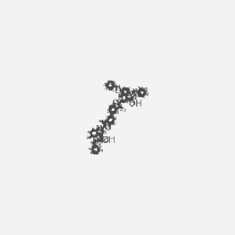 Cc1ccc2nc(-c3oc4ccc(-c5ccc6oc(-c7cc(C(=O)O)c8c(OCc9ccccc9)ccc(OCc9ccccc9)c8n7)c(C)c6c5)cc4c3C)cc(C(=O)O)c2c1OCc1ccccc1